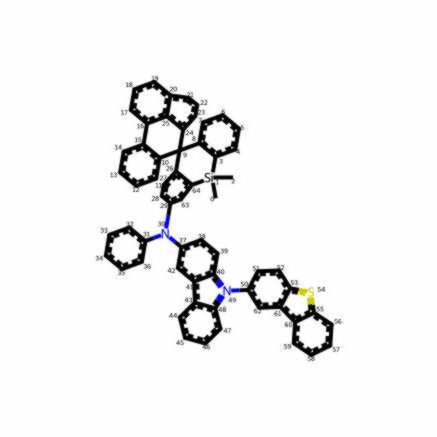 C[Si]1(C)c2ccccc2C2(c3ccccc3-c3cccc4cccc2c34)c2ccc(N(c3ccccc3)c3ccc4c(c3)c3ccccc3n4-c3ccc4sc5ccccc5c4c3)cc21